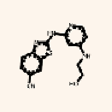 N#Cc1ccc2nc(Nc3cc(NCCO)ccn3)sc2c1